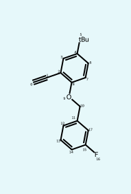 C#Cc1cc(C(C)(C)C)ccc1OCc1cccc(F)c1